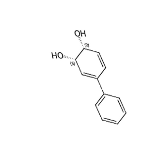 O[C@@H]1C=CC(c2ccccc2)=C[C@@H]1O